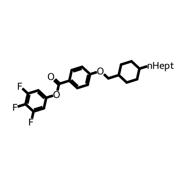 CCCCCCCC1CCC(COc2ccc(C(=O)Oc3cc(F)c(F)c(F)c3)cc2)CC1